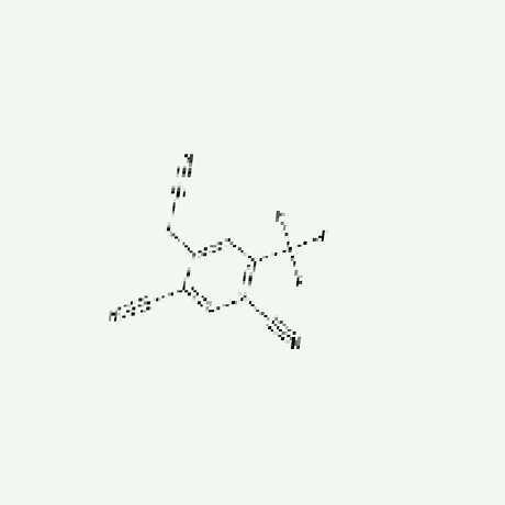 N#CCc1cc(C(F)(F)F)c(C#N)cc1C#N